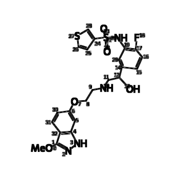 COc1n[nH]c2cc(OCCNCC(O)c3ccc(F)c(NS(=O)(=O)c4ccsc4)c3)ccc12